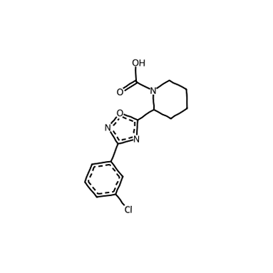 O=C(O)N1CCCCC1c1nc(-c2cccc(Cl)c2)no1